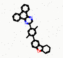 Cc1cc(-c2cnc3c4ccccc4c4ccccc4c3n2)c(C)cc1-c1ccc2oc3c(c2c1)CCC=C3